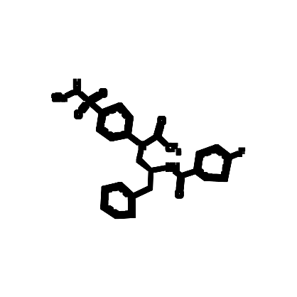 CC(C)(C)NS(=O)(=O)c1ccc(N(C[C@H](Cc2ccccc2)NC(=O)c2ccc(F)cc2)C(=O)C(F)(F)F)cc1